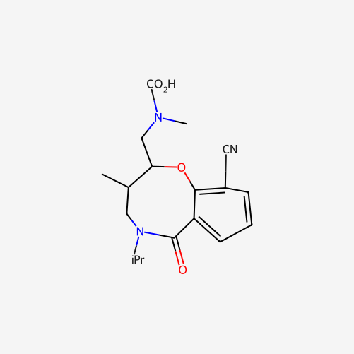 CC1CN(C(C)C)C(=O)c2cccc(C#N)c2OC1CN(C)C(=O)O